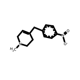 CN1CC=C(Cc2ccc([N+](=O)[O-])cc2)CC1